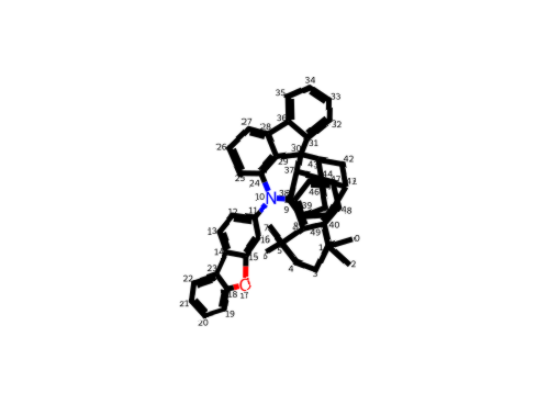 CC1(C)CCC(C)(C)c2c(N(c3ccc4c(c3)oc3ccccc34)c3cccc4c3C3(c5ccccc5-4)C4CC5CC6CC3C64C5)cccc21